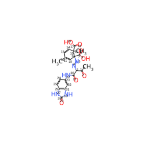 CC(=O)C(N=NC1(C(=O)O)C=C(C)C=CC1(C)C(=O)O)C(=O)Nc1ccc2[nH]c(=O)[nH]c2c1